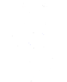 O=c1c([N+](=O)[O-])c(O)c2cccnc2n1Cc1ccc(F)cc1